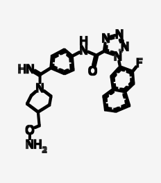 N=C(c1ccc(NC(=O)c2nnnn2-c2cc3ccccc3cc2F)cc1)N1CCC(CON)CC1